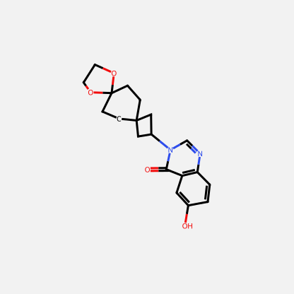 O=c1c2cc(O)ccc2ncn1C1CC2(CCC3(CC2)OCCO3)C1